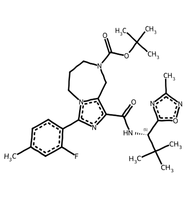 Cc1ccc(-c2nc(C(=O)N[C@H](c3nc(C)no3)C(C)(C)C)c3n2CCCN(C(=O)OC(C)(C)C)C3)c(F)c1